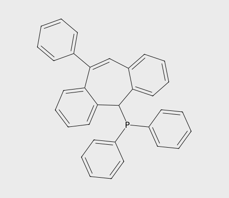 C1=C(c2ccccc2)c2ccccc2C(P(c2ccccc2)c2ccccc2)c2ccccc21